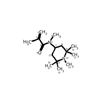 C=C(C)C(=O)N(C)C1CC(C)(C)N(C)C(C)(C)C1